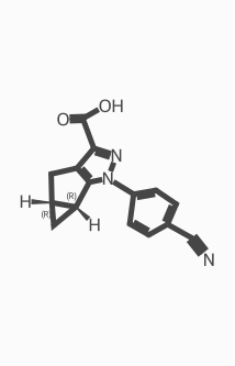 N#Cc1ccc(-n2nc(C(=O)O)c3c2[C@@H]2C[C@@H]2C3)cc1